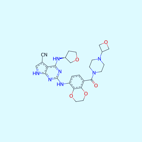 N#Cc1c[nH]c2nc(Nc3ccc(C(=O)N4CCN(C5COC5)CC4)c4c3OCCO4)nc(N[C@H]3CCOC3)c12